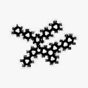 c1ccc(-c2ccc(-c3cc(-n4c5ccc(-c6ccccc6)cc5c5cc6c7ccccc7c7cc(-c8ccc9ccccc9c8)ccc7c6cc54)nc(-c4ccc(-c5ccccc5)cc4)n3)cc2)cc1